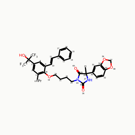 CCCc1cc(C(O)(C(F)(F)F)C(F)(F)F)cc(C=Cc2ccccc2)c1OCCCCN1C(=O)NC(C)(c2ccc3c(c2)OCO3)C1=O